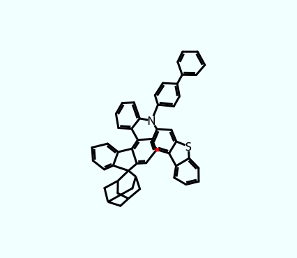 c1ccc(-c2ccc(N(c3ccc4c(c3)sc3ccccc34)c3ccccc3-c3cccc4c3-c3ccccc3C43C4CC5CC(C4)CC3C5)cc2)cc1